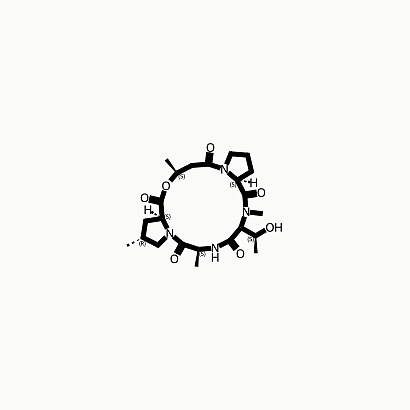 C[C@@H]1C[C@H]2C(=O)O[C@@H](C)CC(=O)N3CCC[C@H]3C(=O)N(C)C([C@H](C)O)C(=O)N[C@@H](C)C(=O)N2C1